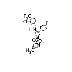 Cn1cnc(S(=O)(=O)N2C[C@@H](NCc3ccc(C(F)(F)F)c(Cl)c3)[C@H](c3ccc(F)cc3)C2)c1